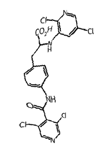 O=C(Nc1ccc(CC(Nc2cc(Cl)cnc2Cl)C(=O)O)cc1)c1c(Cl)cncc1Cl